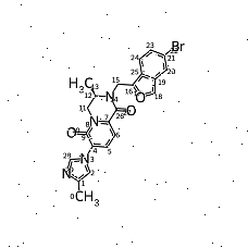 Cc1cn(-c2ccc3n(c2=O)C[C@@H](C)N(Cc2occ4cc(Br)ccc24)C3=O)cn1